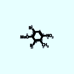 COc1c(Br)cc([N+](=O)[O-])c(C)c1Br